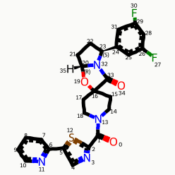 O=C(c1ncc(-c2ccccn2)s1)N1CCC2(CC1)O[C@@H]1CC[C@@H](c3cc(F)cc(F)c3)N1C2=O